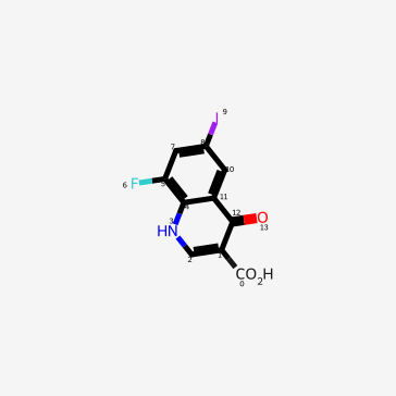 O=C(O)c1c[nH]c2c(F)cc(I)cc2c1=O